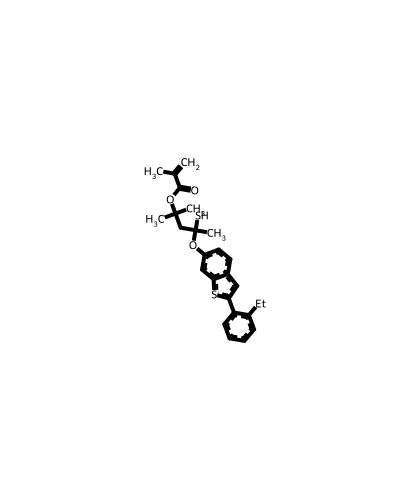 C=C(C)C(=O)OC(C)(C)CC(C)(S)Oc1ccc2cc(-c3ccccc3CC)sc2c1